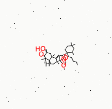 CCCCC(OCOC)[C@]1(CCC(C)(C)[C@]2(C)CC[C@H]3C(C)(C)C(=O)/C(=C\O)C[C@]3(C)/C2=C/C(C)=O)CCC(C)(C)CC1C